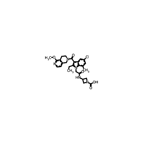 CCc1c(C(=O)N2CCc3c(ccnc3OC)C2)c2cc(Cl)cc(C)c2n1CC(=O)NC1CN(C(=O)O)C1